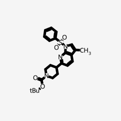 Cc1cn(S(=O)(=O)c2ccccc2)c2nc(C3CCN(C(=O)OC(C)(C)C)CC3)ccc12